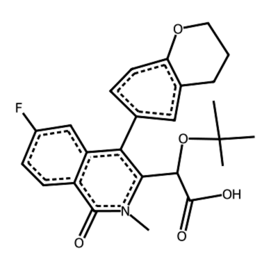 Cn1c(C(OC(C)(C)C)C(=O)O)c(-c2ccc3c(c2)CCCO3)c2cc(F)ccc2c1=O